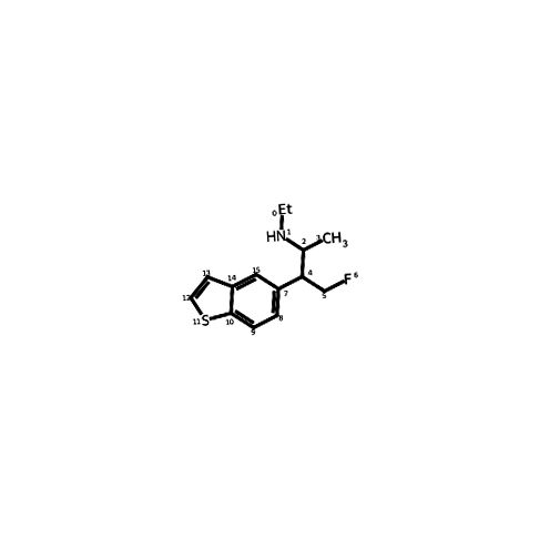 CCNC(C)C(CF)c1ccc2sccc2c1